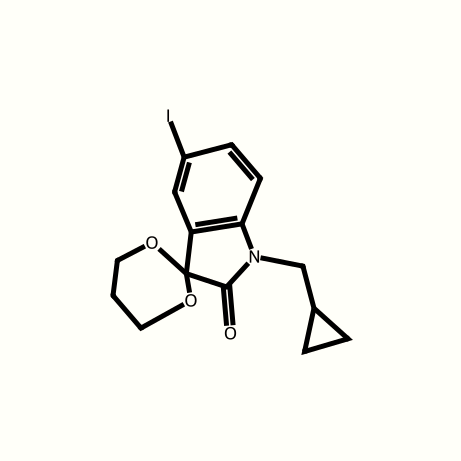 O=C1N(CC2CC2)c2ccc(I)cc2C12OCCCO2